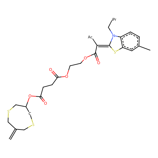 C=C1CSCC(OC(=O)CCC(=O)OCCOC(=O)/C(C(C)=O)=C2\Sc3cc(C)ccc3N2CC(C)C)CSC1